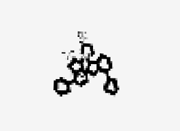 CC1=Cc2c(-c3ccccc3)cccc2[CH]1[Zr+2]1([CH]2C(C)=Cc3c(-c4ccccc4)cccc32)[CH2]CC[CH2]1.[Cl-].[Cl-]